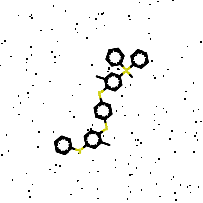 Cc1cc(Sc2ccccc2)ccc1Sc1ccc(Sc2ccc(S(C)(c3ccccc3)c3ccccc3)cc2C)cc1